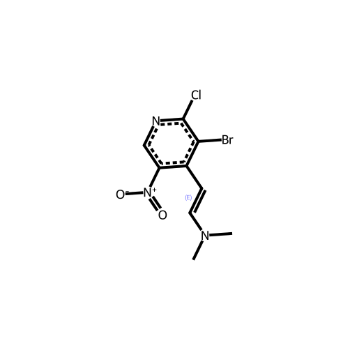 CN(C)/C=C/c1c([N+](=O)[O-])cnc(Cl)c1Br